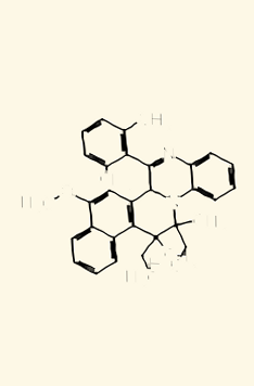 CCC1(C)c2c(cc(OC)c3ccccc23)C2C(c3c(C)cccc3C)=Nc3ccccc3N2C1(C)CC